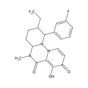 CN1C(=O)c2c(O)c(=O)ccn2N2C(c3cccc(F)c3)C(CC(F)(F)F)CCC12